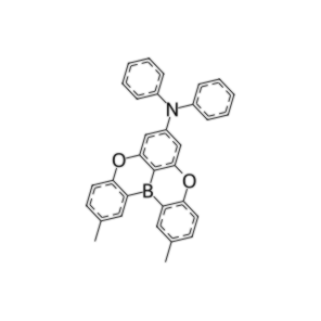 Cc1ccc2c(c1)B1c3cc(C)ccc3Oc3cc(N(c4ccccc4)c4ccccc4)cc(c31)O2